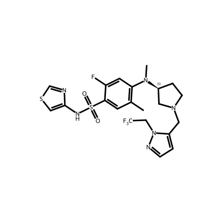 Cc1cc(S(=O)(=O)Nc2cscn2)c(F)cc1N(C)[C@H]1CCN(Cc2ccnn2CC(F)(F)F)C1